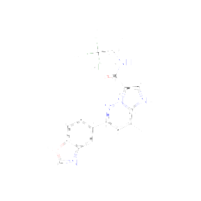 Cc1cc(-c2ccc3ocnc3c2)nn2c(C(=O)N[C@@H](C)C(F)(F)F)cnc12